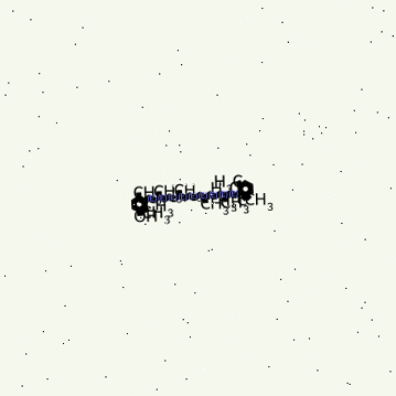 CC1=C(/C=C/C(C)=C/C=C/C(C)=C/C=C/C=C(C)/C=C/C=C(C)/C=C/C2C(C)(C)CCCC2(C)C)C(C)(C)C(O)CC1